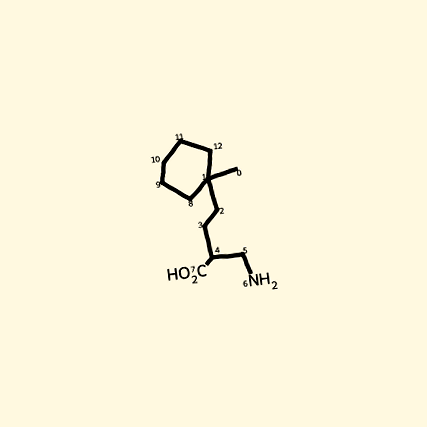 CC1(CCC(CN)C(=O)O)CCCCC1